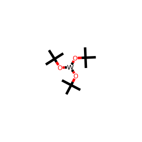 CC(C)(C)[O][W]([O]C(C)(C)C)[O]C(C)(C)C